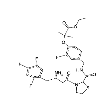 CCOC(=O)C(C)(C)Oc1ccc(CNC(=O)C2SCCN2C(=O)C[C@H](N)Cc2cc(F)c(F)cc2F)cc1F